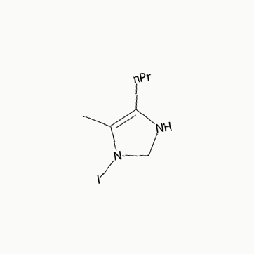 CCCC1=C(C)N(I)CN1